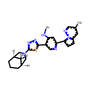 CC(=O)N[C@@H]1[C@@H]2CCC[C@H]1CN(c1nnc(-c3cnc(-c4ccc5cc(C#N)cnn45)cc3NC(C)C)s1)C2